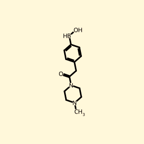 CN1CCN(C(=O)Cc2ccc(BO)cc2)CC1